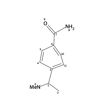 CNC(C)c1ccc(C(N)=O)cc1